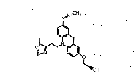 C#CCOc1ccc2c(c1)Cc1cc(N=[N+]=C)ccc1N2CCc1nnn[nH]1